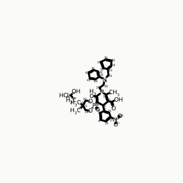 CC1=C(C(=O)O)C(c2cccc([N+](=O)[O-])c2)C(P2(=O)OCC(C)(C)CO2)=C(C)N1CCN(Cc1ccccc1)c1ccccc1.CCO.Cl